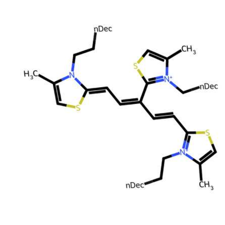 CCCCCCCCCCCCN1C(C)=CS\C1=C/C=C(/C=C/c1scc(C)[n+]1CCCCCCCCCCCC)c1scc(C)[n+]1CCCCCCCCCCC